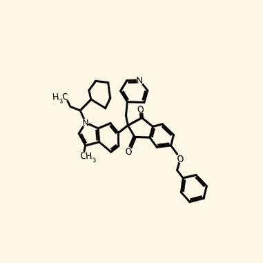 CCC(C1CCCCC1)n1cc(C)c2ccc(C3(Cc4ccncc4)C(=O)c4ccc(OCc5ccccc5)cc4C3=O)cc21